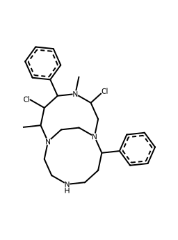 CC1C(Cl)C(c2ccccc2)N(C)C(Cl)CN2CCN1CCNCCC2c1ccccc1